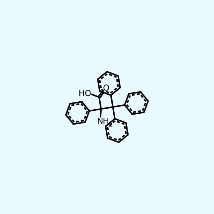 NC(C(=O)O)(c1ccccc1)C(c1ccccc1)(c1ccccc1)c1ccccc1